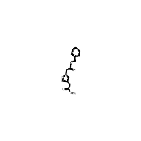 CC(C)COC(=O)Cc1cn(CC(=O)OCc2ccccc2)nn1